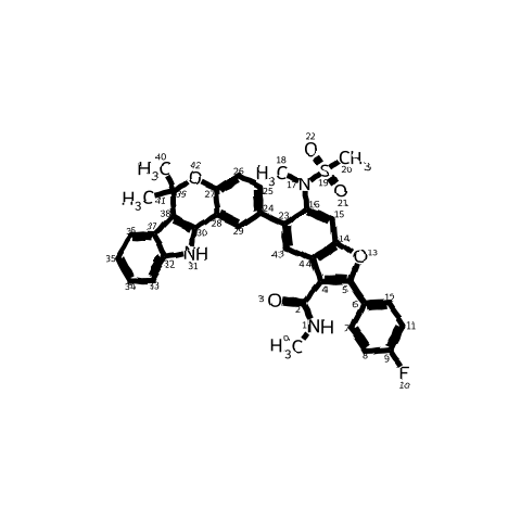 CNC(=O)c1c(-c2ccc(F)cc2)oc2cc(N(C)S(C)(=O)=O)c(-c3ccc4c(c3)-c3[nH]c5ccccc5c3C(C)(C)O4)cc12